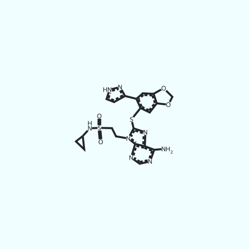 Nc1ncnc2c1nc(Sc1cc3c(cc1-c1cc[nH]n1)OCO3)n2CCS(=O)(=O)NC1CC1